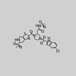 CS(=O)(=O)NC(=O)CC1CN(S(=O)(=O)c2cc3cc(Cl)ccc3[nH]2)CCN1C(=O)c1nc2c(s1)CNC(S(C)(=O)=O)C2